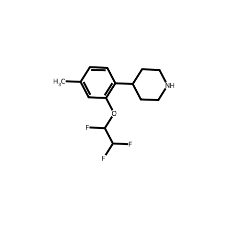 Cc1ccc(C2CCNCC2)c(OC(F)C(F)F)c1